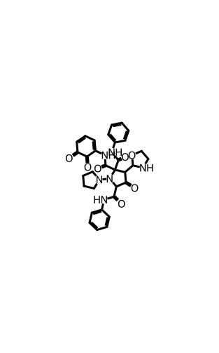 O=C1C=CC=C(NC(=O)C2(C(=O)Nc3ccccc3)C(C3NCCO3)C(=O)C(C(=O)Nc3ccccc3)N2N2CCCC2)C1=O